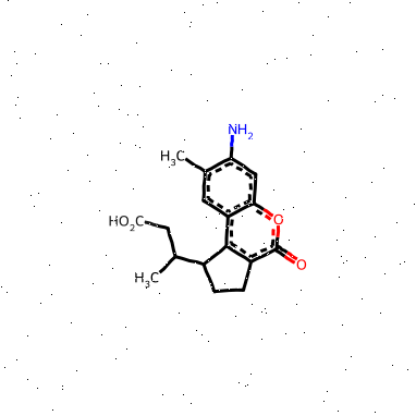 Cc1cc2c3c(c(=O)oc2cc1N)CCC3C(C)CC(=O)O